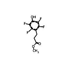 COC(=O)CCc1c(F)c(F)c(O)c(F)c1F